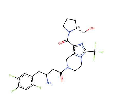 NC(CC(=O)N1CCn2c(C(F)(F)F)nc(C(=O)N3CCC[C@@H]3CO)c2C1)Cc1cc(F)c(F)cc1F